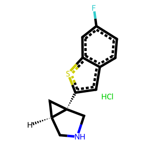 Cl.Fc1ccc2cc([C@]34CNC[C@H]3C4)sc2c1